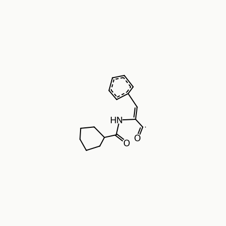 O=[C]C(=Cc1ccccc1)NC(=O)C1CCCCC1